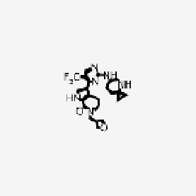 O=C1c2[nH]cc(-c3nc(NC4CCC5(CC5)NC4)ncc3C(F)(F)F)c2CCCN1CC1COC1